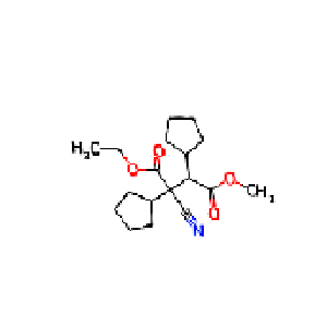 CCOC(=O)C(C#N)(C1CCCC1)C(C(=O)OC)C1CCCC1